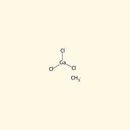 [CH3].[Cl][Ga]([Cl])[Cl]